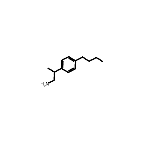 CCCCc1ccc(C(C)CN)cc1